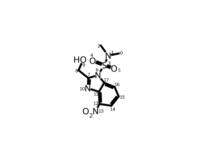 CN(C)S(=O)(=O)n1c(CO)nc2c([N+](=O)[O-])cccc21